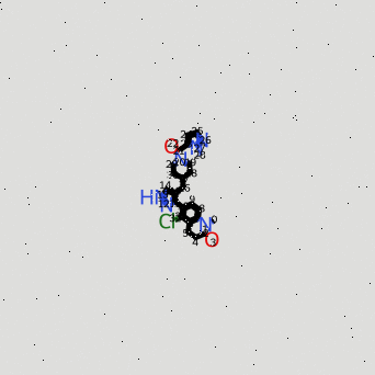 CN1C(=O)CCc2c1ccc(-c1n[nH]cc1CC1CCN(C(=O)c3ccnn3C)CC1)c2Cl